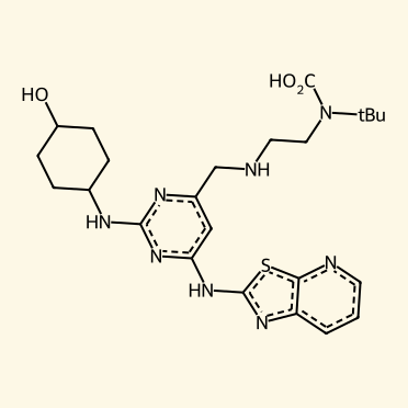 CC(C)(C)N(CCNCc1cc(Nc2nc3cccnc3s2)nc(NC2CCC(O)CC2)n1)C(=O)O